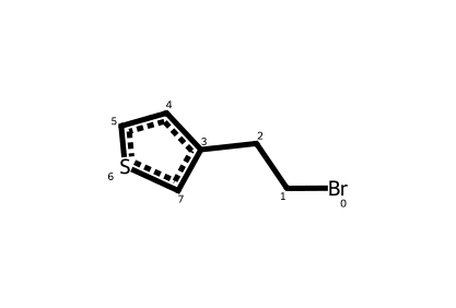 BrCCc1ccsc1